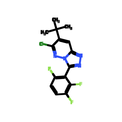 CC(C)(C)c1cc2nnc(-c3c(F)ccc(F)c3F)n2nc1Cl